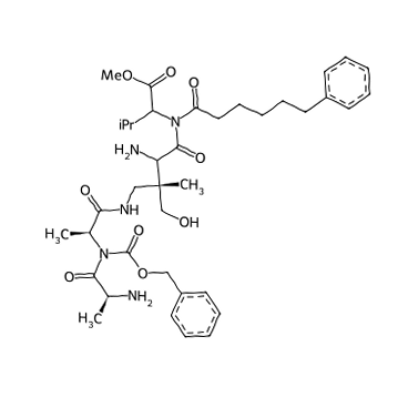 COC(=O)C(C(C)C)N(C(=O)CCCCCc1ccccc1)C(=O)C(N)[C@](C)(CO)CNC(=O)[C@H](C)N(C(=O)OCc1ccccc1)C(=O)[C@H](C)N